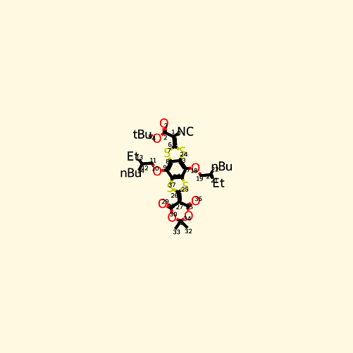 [C-]#[N+]C(C(=O)OC(C)(C)C)=C1Sc2c(OCC(CC)CCCC)c3c(c(OCC(CC)CCCC)c2S1)SC(=C1C(=O)OC(C)(C)OC1=O)S3